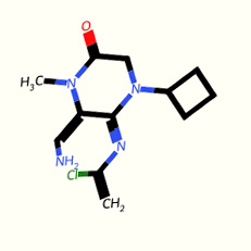 C=C(Cl)/N=C1\C(=C/N)N(C)C(=O)CN1C1CCC1